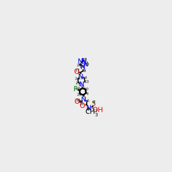 CN(C(O)=S)C1CN(c2ccc(N3CCN(C(=O)Cn4cnnn4)CC3)c(F)c2)C(=O)O1